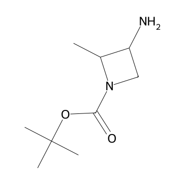 CC1C(N)CN1C(=O)OC(C)(C)C